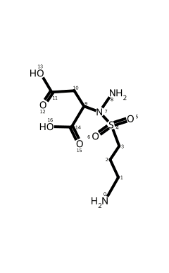 NCCCS(=O)(=O)N(N)C(CC(=O)O)C(=O)O